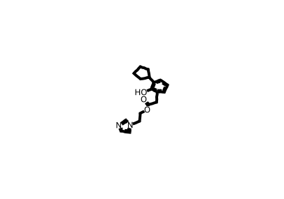 O=C(Cc1cccc(C2CCCC2)c1O)OCCn1ccnc1